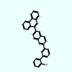 N#Cc1ccccc1-c1cccc(-c2ccc3cc(-c4cc5ccccc5c5ccccc45)ccc3c2)c1